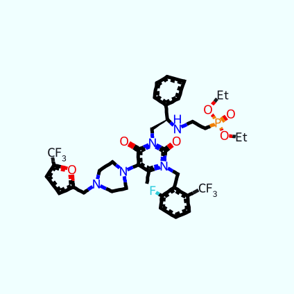 CCOP(=O)(CCN[C@@H](Cn1c(=O)c(N2CCN(Cc3ccc(C(F)(F)F)o3)CC2)c(C)n(Cc2c(F)cccc2C(F)(F)F)c1=O)c1ccccc1)OCC